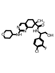 CC1(C(=O)NC(CO)c2ccc(Cl)c(F)c2)CCc2cnc(NC3CCOCC3)nc2C1